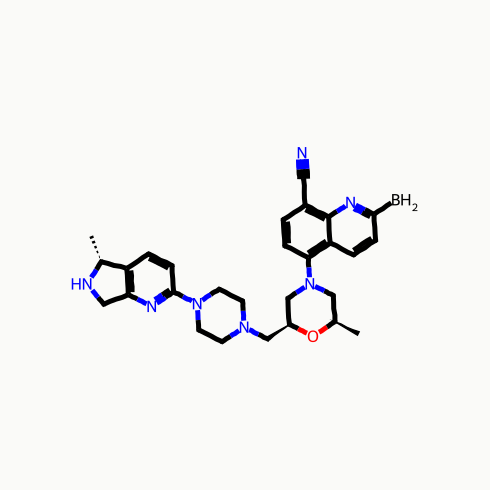 Bc1ccc2c(N3C[C@H](CN4CCN(c5ccc6c(n5)CN[C@@H]6C)CC4)O[C@H](C)C3)ccc(C#N)c2n1